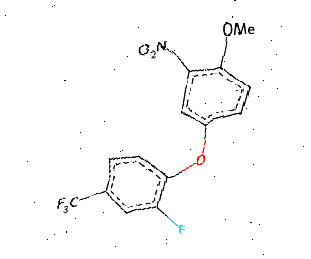 COc1ccc(Oc2ccc(C(F)(F)F)cc2F)cc1[N+](=O)[O-]